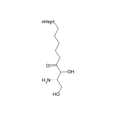 CCCCCCCCCCCCC(=O)C(O)[C@@H](N)CO